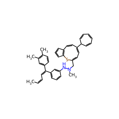 C/C=C\C=C(/c1cccc(NN(C)Cc2ccc(C3C=CC=CC=C3)ccc3c(s2)C=C=C3)c1)c1ccc(C)c(C)c1